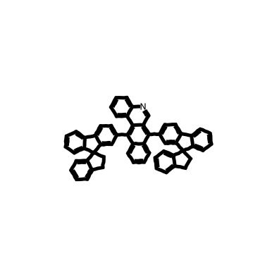 c1ccc2c(c1)CCC21c2ccccc2-c2ccc(-c3c4ccccc4c(-c4ccc5c(c4)C4(CCc6ccccc64)c4ccccc4-5)c4c3cnc3ccccc34)cc21